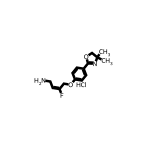 CC1(C)COC(c2ccc(OC/C(F)=C\CN)cc2)=N1.Cl